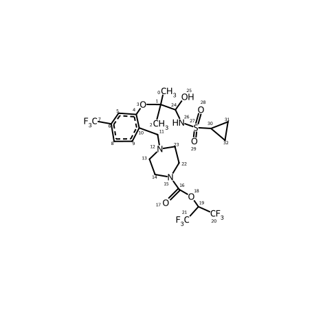 CC(C)(Oc1cc(C(F)(F)F)ccc1CN1CCN(C(=O)OC(C(F)(F)F)C(F)(F)F)CC1)C(O)NS(=O)(=O)C1CC1